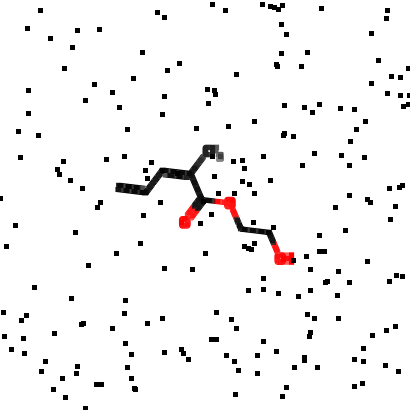 C=CC=C(C(=O)OCCO)C(F)(F)F